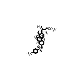 Cc1ccc(S(=O)(=O)O[C@@H]2CC[C@@]3(C)[C@H](CC(=O)[C@@H]4[C@@H]3CC[C@]3(C)[C@@H]([C@H](C)CCC(=O)O)CC[C@@H]43)C2)cc1